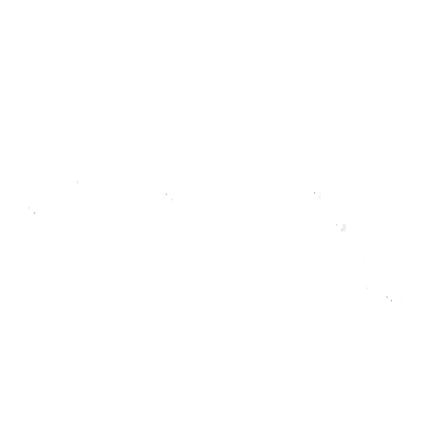 CC(C)(C#N)c1cccc(C(=O)Nc2cccc(Oc3ccc(NC(=S)OC(N)=O)nc3)c2)c1